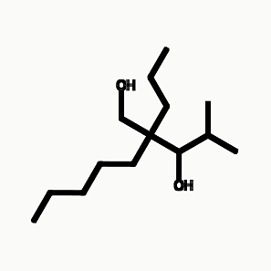 CCCCCC(CO)(CCC)C(O)C(C)C